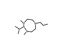 CCCN1CCN(C)N(N(C)C)N(C)CC1